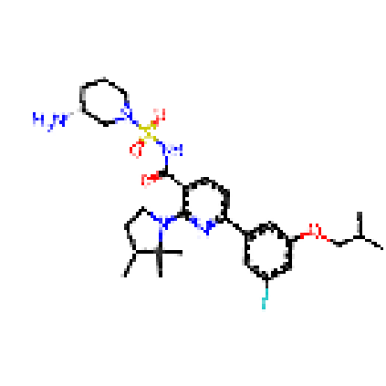 CC(C)COc1cc(F)cc(-c2ccc(C(=O)NS(=O)(=O)N3CCC[C@@H](N)C3)c(N3CCC(C)C3(C)C)n2)c1